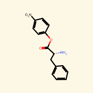 N[C@H](Cc1ccccc1)C(=O)Oc1ccc([N+](=O)[O-])cc1